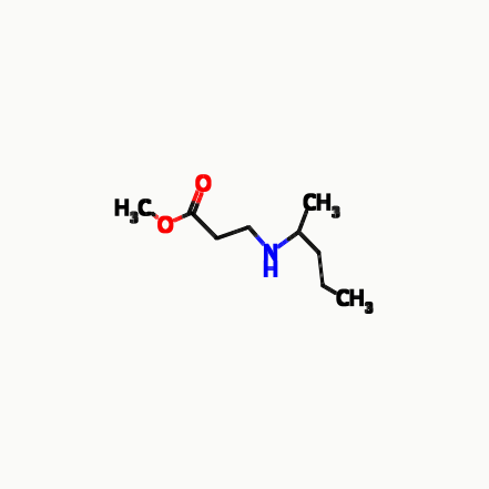 CCCC(C)NCCC(=O)OC